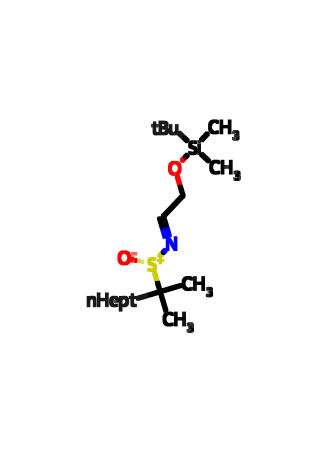 CCCCCCCC(C)(C)[S@+]([O-])N=CCO[Si](C)(C)C(C)(C)C